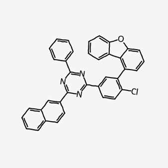 Clc1ccc(-c2nc(-c3ccccc3)nc(-c3ccc4ccccc4c3)n2)cc1-c1cccc2oc3ccccc3c12